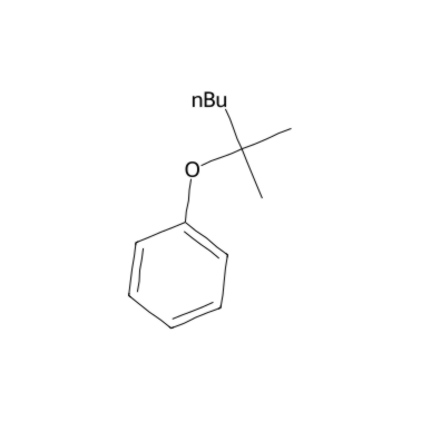 CCCCC(C)(C)Oc1ccccc1